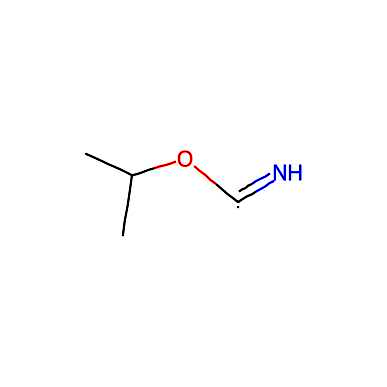 CC(C)O[C]=N